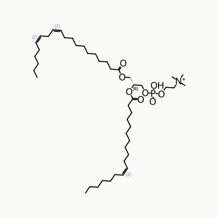 CCCCC/C=C\C/C=C\CCCCCCCCCC(=O)OC[C@H](COP(=O)(O)OCC[N+](C)(C)C)OC(=O)CCCCCCCCC/C=C\CCCCCC